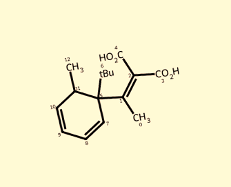 CC(=C(C(=O)O)C(=O)O)C1(C(C)(C)C)C=CC=CC1C